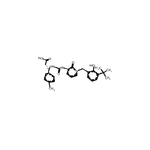 Cc1ccc([C@H](CC(=O)O)NC(=O)Nc2cccn(Cc3cccc(C(C)(C)C)c3O)c2=O)cc1